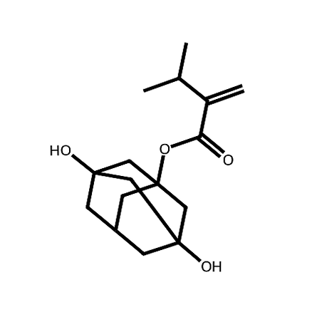 C=C(C(=O)OC12CC3CC(O)(CC(O)(C3)C1)C2)C(C)C